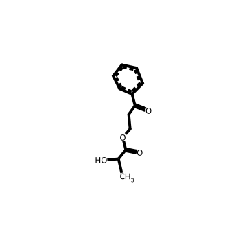 CC(O)C(=O)OCCC(=O)c1ccccc1